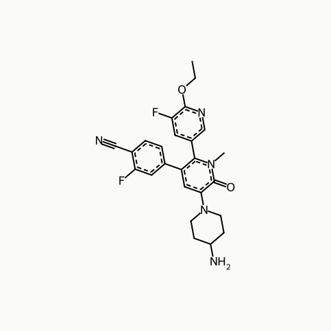 CCOc1ncc(-c2c(-c3ccc(C#N)c(F)c3)cc(N3CCC(N)CC3)c(=O)n2C)cc1F